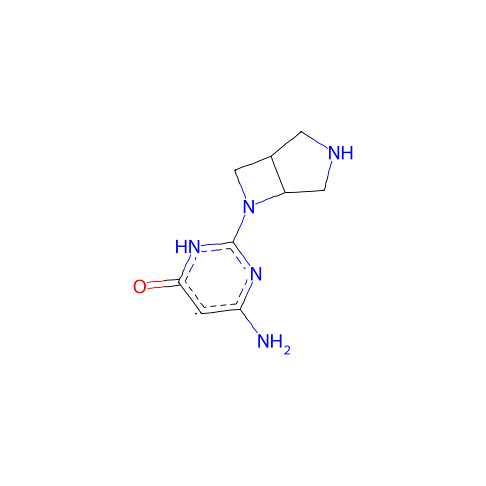 Nc1[c]c(=O)[nH]c(N2CC3CNCC32)n1